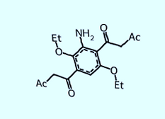 CCOc1cc(C(=O)CC(C)=O)c(OCC)c(N)c1C(=O)CC(C)=O